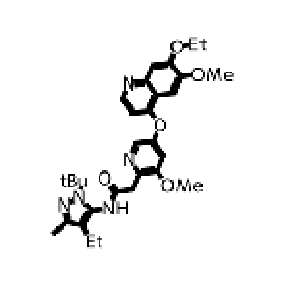 CCOc1cc2nccc(Oc3cnc(CC(=O)Nc4c(CC)c(C)nn4C(C)(C)C)c(OC)c3)c2cc1OC